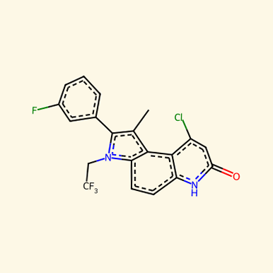 Cc1c(-c2cccc(F)c2)n(CC(F)(F)F)c2ccc3[nH]c(=O)cc(Cl)c3c12